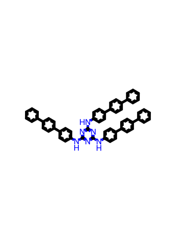 c1ccc(-c2ccc(-c3ccc(Nc4nc(Nc5ccc(-c6ccc(-c7ccccc7)cc6)cc5)nc(Nc5ccc(-c6ccc(-c7ccccc7)cc6)cc5)n4)cc3)cc2)cc1